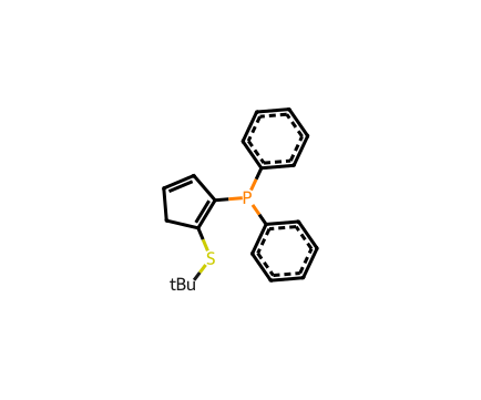 CC(C)(C)SC1=C(P(c2ccccc2)c2ccccc2)C=CC1